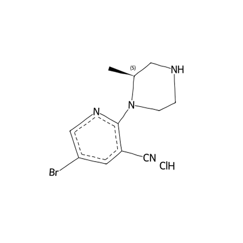 C[C@H]1CNCCN1c1ncc(Br)cc1C#N.Cl